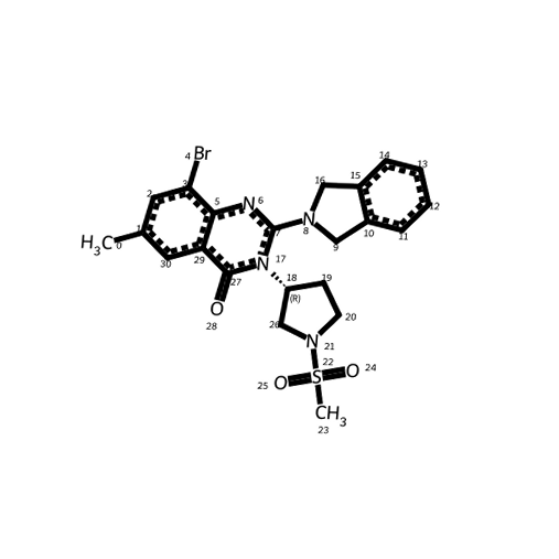 Cc1cc(Br)c2nc(N3Cc4ccccc4C3)n([C@@H]3CCN(S(C)(=O)=O)C3)c(=O)c2c1